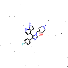 CN1CCC(O)(Cn2cnc(-c3ccc(F)cc3)c2-c2ccnc3[nH]ccc23)CC1